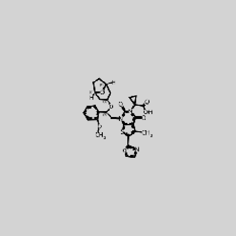 COc1ccccc1[C@H](Cn1c(=O)n(C2(C(=O)O)CC2)c(=O)c2c(C)c(-c3ncco3)sc21)O[C@@H]1C[C@H]2CC[C@@H](C1)O2